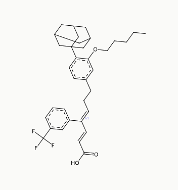 CCCCCOc1cc(CC/C=C(/C=CC(=O)O)c2cccc(C(F)(F)F)c2)ccc1C12CC3CC(CC(C3)C1)C2